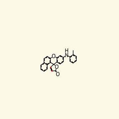 Cc1ccccc1Nc1ccc2c(c1)Oc1ccc3ccccc3c1C21OC(=O)c2ccccc21